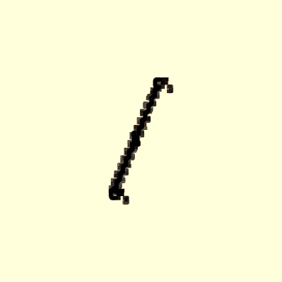 FC(F)(F)CCCCCCCCCCCCCSSCCCCCCCCCCCCCC(F)(F)F